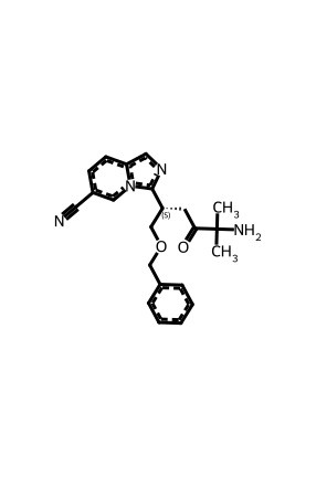 CC(C)(N)C(=O)C[C@H](COCc1ccccc1)c1ncc2ccc(C#N)cn12